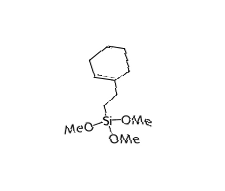 CO[Si](CCC1=CCCCC1)(OC)OC